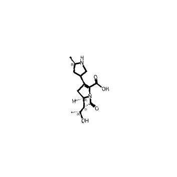 C[C@@H]1CC(C2=C(C(=O)O)N3C(=O)[C@H]([C@@H](C)O)[C@H]3C2)CN1